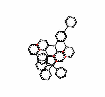 c1ccc(-c2ccc(N(c3ccccc3-c3cccc4cccc(-c5ccccc5)c34)c3cccc4c3-c3ccccc3C4(c3ccccc3)c3ccccc3)c(-c3ccccc3)c2)cc1